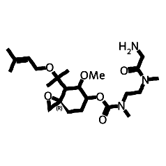 COC1C(OC(=O)N(C)CCN(C)C(=O)CN)CC[C@]2(CO2)C1C(C)(C)OCC=C(C)C